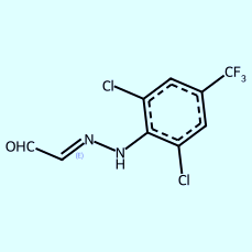 O=C/C=N/Nc1c(Cl)cc(C(F)(F)F)cc1Cl